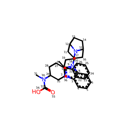 Cc1nc2ccccc2n1C1CC2CCC(C1)N2CCC1(c2ccccc2)CCC(N(C)C(=O)O)CC1